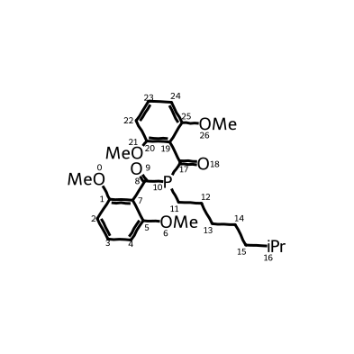 COc1cccc(OC)c1C(=O)P(CCCCCC(C)C)C(=O)c1c(OC)cccc1OC